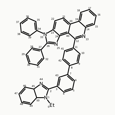 CCN1C(c2cccc(-c3ccc(-c4nc5ccccc5c5ccc6c(nc(-c7ccccc7)n6-c6ccccc6)c45)cc3)c2)=NC2C=CC=CC21